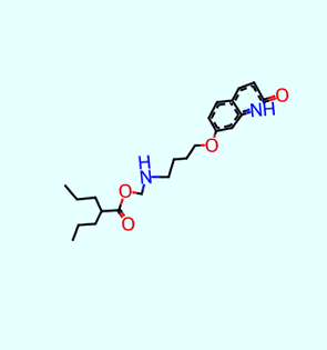 CCCC(CCC)C(=O)OCNCCCCOc1ccc2ccc(=O)[nH]c2c1